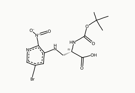 CC(C)(C)OC(=O)N[C@@H](CNc1cc(Br)cnc1[N+](=O)[O-])C(=O)O